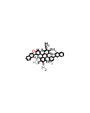 Bc1c(B)c(B)c2c(-c3ccc4oc5cc6ccccc6cc5c4c3)c3c(B)c(B)c(B)c(B)c3c(-c3cccc(-c4ccc5ccccc5c4)c3)c2c1B